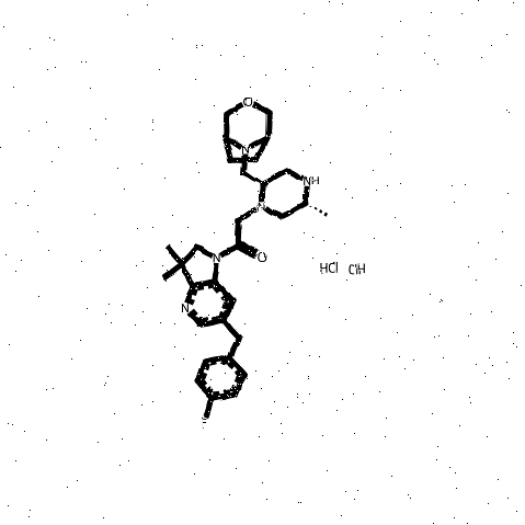 C[C@@H]1CN(CC(=O)N2CC(C)(C)c3ncc(Cc4ccc(F)cc4)cc32)[C@@H](CN2C3CCC2COC3)CN1.Cl.Cl